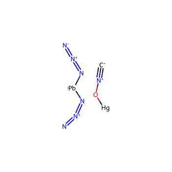 [C-]#[N+][O][Hg].[N-]=[N+]=[N][Pb][N]=[N+]=[N-]